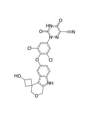 N#Cc1nn(-c2cc(Cl)c(Oc3ccc4[nH]c5c(c4c3)C3(COC5)CC(O)C3)c(Cl)c2)c(=O)[nH]c1=O